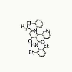 CCc1cccc(CC)c1NC(=O)c1c(-c2cccnc2)n(-c2ccccc2Cl)c(C)cc1=O